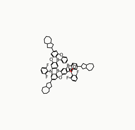 Fc1cccc(F)c1N1c2cc3c(cc2B2c4cc5c(cc4Oc4cc(C6CC7CCCCCC7C6)cc1c42)N(c1c(F)cccc1F)c1cc(C2CC4CCCCCC4C2)cc2c1B5c1ccccc1O2)B1c2ccccc2Oc2cc(C4CC5CCCCCC5C4)cc(c21)O3